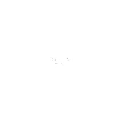 [Au].[Ni].[Ti].[V]